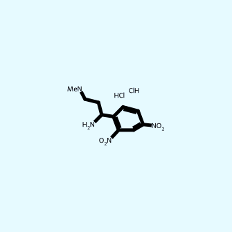 CNCCC(N)c1ccc([N+](=O)[O-])cc1[N+](=O)[O-].Cl.Cl